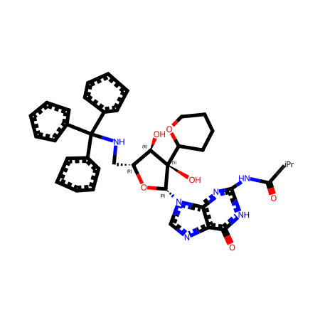 CC(C)C(=O)Nc1nc2c(ncn2[C@@H]2O[C@H](CNC(c3ccccc3)(c3ccccc3)c3ccccc3)[C@@H](O)[C@]2(O)C2CCCCO2)c(=O)[nH]1